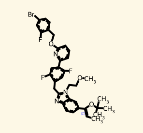 C/C=C(\OC(C)(C)C)c1ccc2nc(Cc3cc(F)c(-c4cccc(OCc5ccc(Br)cc5F)n4)cc3F)n(CCOC)c2c1